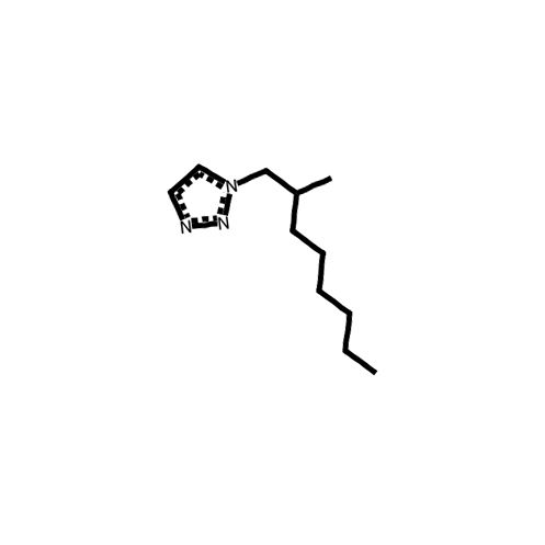 CCCCCCC(C)Cn1ccnn1